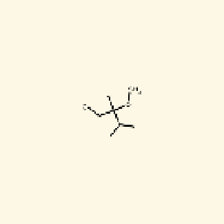 CC(C)C(C)(CCl)O[SiH3]